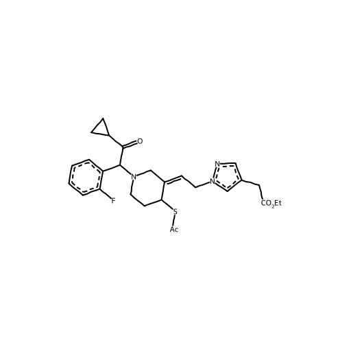 CCOC(=O)Cc1cnn(CC=C2CN(C(C(=O)C3CC3)c3ccccc3F)CCC2SC(C)=O)c1